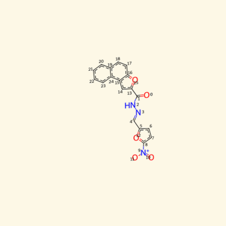 O=C(N/N=C/c1ccc([N+](=O)[O-])o1)c1cc2c(ccc3ccccc32)o1